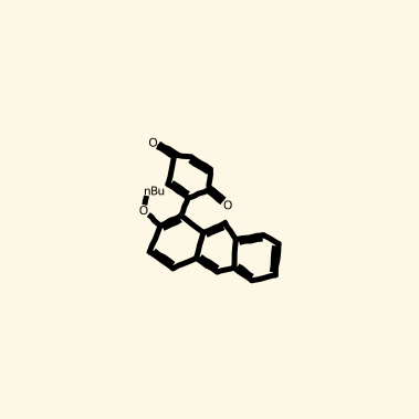 CCCCOc1ccc2cc3ccccc3cc2c1C1=CC(=O)C=CC1=O